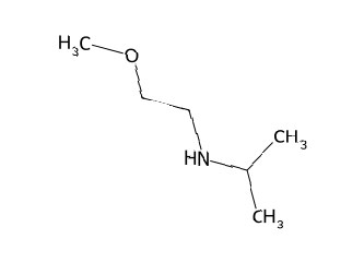 COCCNC(C)C